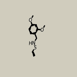 C=CSNCc1ccc(OC)cc1OC